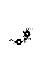 Cc1c(C(=O)O)ccc2[nH]c(Nc3ccc(OC(C)C)cc3)nc12